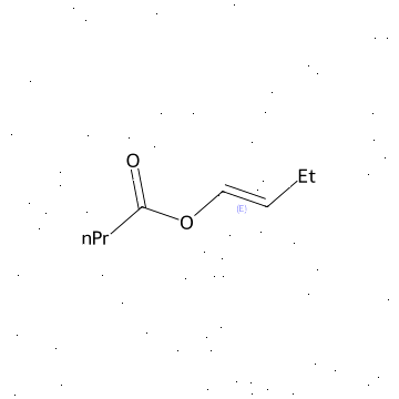 CC/C=C/OC(=O)CCC